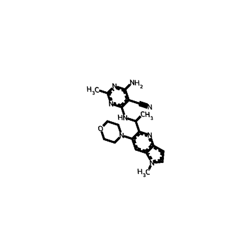 Cc1nc(N)c(C#N)c(NC(C)c2nc3ccn(C)c3cc2N2CCOCC2)n1